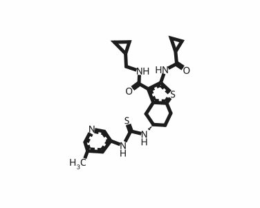 Cc1cncc(NC(=S)N[C@H]2CCc3sc(NC(=O)C4CC4)c(C(=O)NCC4CC4)c3C2)c1